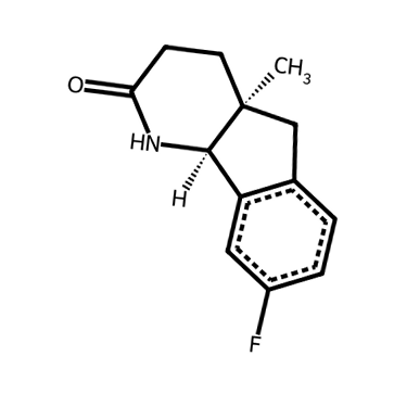 C[C@@]12CCC(=O)N[C@@H]1c1cc(F)ccc1C2